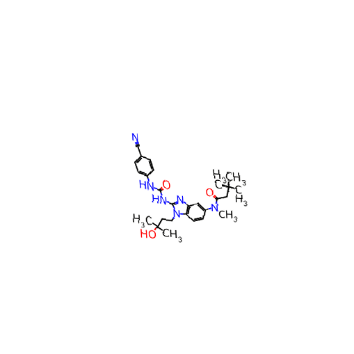 CN(C(=O)CC(C)(C)C)c1ccc2c(c1)nc(NC(=O)Nc1ccc(C#N)cc1)n2CCC(C)(C)O